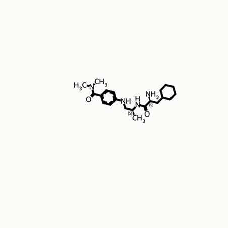 C[C@@H](CNc1ccc(C(=O)N(C)C)cc1)NC(=O)[C@@H](N)CC1CCCCC1